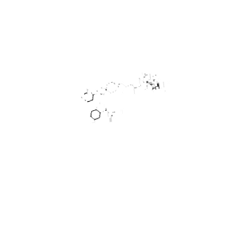 CCS(=O)(=N[Si](C)(C)C(C)(C)C)N[C@@H](CO)CC[C@H](O)CN1CCC2(CC1)CN(c1ncncc1Oc1ccc(F)cc1C(=O)N(C(C)C)C(C)C)C2